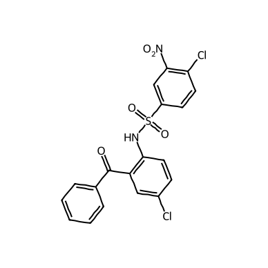 O=C(c1ccccc1)c1cc(Cl)ccc1NS(=O)(=O)c1ccc(Cl)c([N+](=O)[O-])c1